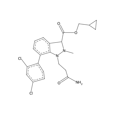 CN1C(C(=O)OCC2CC2)c2cccc(-c3ccc(Cl)cc3Cl)c2N1CCC(N)=O